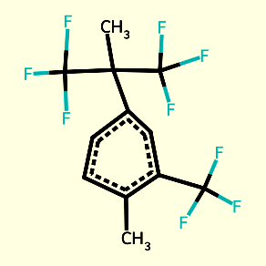 Cc1ccc(C(C)(C(F)(F)F)C(F)(F)F)cc1C(F)(F)F